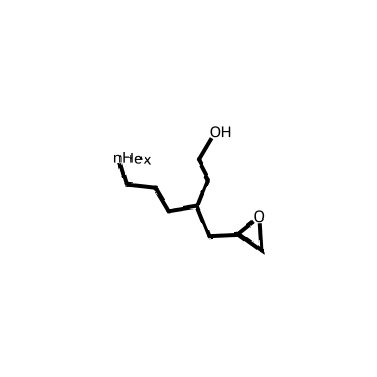 CCCCCCCCCC(CCO)CC1CO1